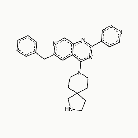 c1ccc(Cc2cc3c(N4CCC5(CCNC5)CC4)nc(-c4ccncc4)nc3cn2)cc1